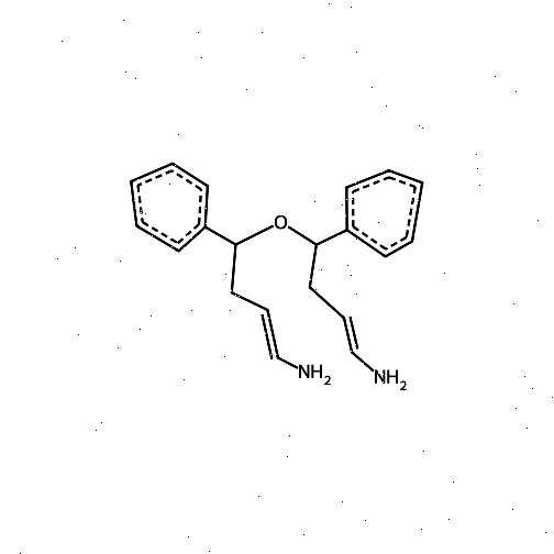 NC=CCC(OC(CC=CN)c1ccccc1)c1ccccc1